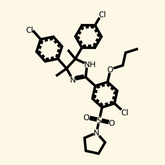 CCCOc1cc(Cl)c(S(=O)(=O)N2CCCC2)cc1C1=NC(C)(c2ccc(Cl)cc2)C(C)(c2ccc(Cl)cc2)N1